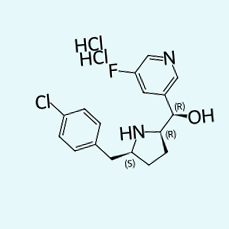 Cl.Cl.O[C@H](c1cncc(F)c1)[C@H]1CC[C@@H](Cc2ccc(Cl)cc2)N1